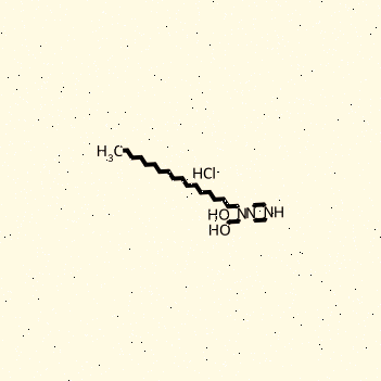 CCCCCCCCCCCCCCCCCCN(CC(O)O)N1CCNCC1.Cl